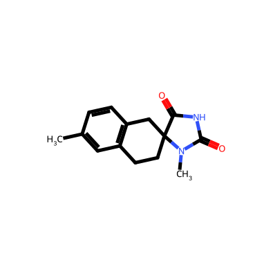 Cc1ccc2c(c1)CCC1(C2)C(=O)NC(=O)N1C